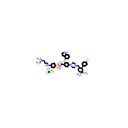 CN(C)CCCNc1ccc(S(=O)(=O)NC(=O)c2ccc(N3CCN(CC4=C(c5ccc(Cl)cc5)CC(C)(C)CC4)CC3)cc2Oc2cccc3[nH]ccc23)cc1S(=O)(=O)C(F)(F)Cl